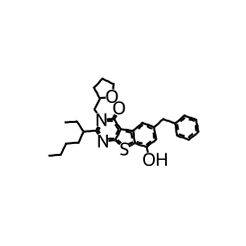 CCCCC(CC)c1nc2sc3c(O)cc(Cc4ccccc4)cc3c2c(=O)n1CC1CCCO1